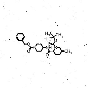 C=C1CC[C@@H](C(=O)NC2CCN(C(=O)OCc3ccccc3)CC2)N(C(=O)OC(C)(C)C)C1